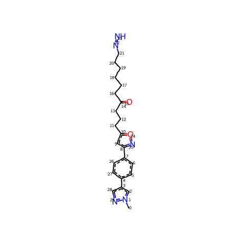 Cn1cc(-c2ccc(-c3cc(CCCC(=O)CCCCCCN=N)on3)cc2)cn1